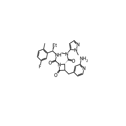 CC[C@@H](NC(=O)N1C(=O)C(Cc2ccnc(N)c2)[C@H]1C(=O)N(C)c1ccnn1C)c1cc(F)ccc1C